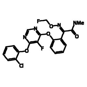 CNC(=O)/C(=N/OCF)c1ccccc1Oc1ncnc(Oc2ccccc2Cl)c1F